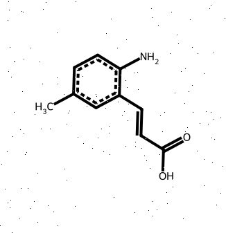 Cc1ccc(N)c(C=CC(=O)O)c1